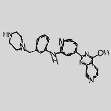 Oc1nc(-c2ccnc(Nc3cccc(CN4CCNCC4)c3)c2)nc2cnccc12